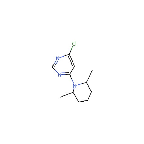 CC1CCCC(C)N1c1cc(Cl)ncn1